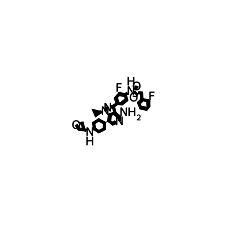 Nc1ncc([C@H]2CC[C@H](NC3COC3)CC2)c2c1c(-c1ccc(NS(=O)(=O)Cc3ccccc3F)c(F)c1)nn2C1CC1